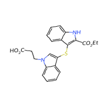 CCOC(=O)c1[nH]c2ccccc2c1Sc1cn(CCC(=O)O)c2ccccc12